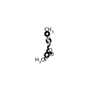 CSN1CCC2(CC1)CC(CCN1CCN(c3ccc(C)cc3)CC1)OC2=O